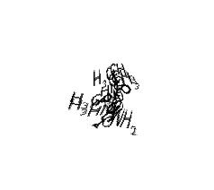 CC(C)(C)OC(=O)N[C@H](C(=O)N1CC2C([C@H]1C(=O)NC(CCC1CC1)C(=O)C(N)=O)C2(C)C)C1CCCCC1